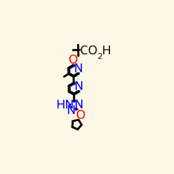 Cc1cc(OCC(C)(C)C(=O)O)ncc1-c1ccc(-c2nc(OC3CCCC3)n[nH]2)cn1